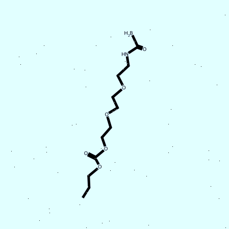 BC(=O)NCCOCCOCCOC(=O)OCCC